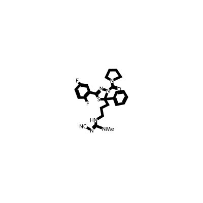 CN/C(=N/C#N)NCCCC1(c2ccccc2)SC(c2cc(F)ccc2F)=NN1C(=O)N1CCCC1